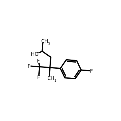 CC(O)CC(C)(c1ccc(F)cc1)C(F)(F)F